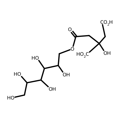 O=C(O)CC(O)(CC(=O)OCC(O)C(O)C(O)C(O)CO)C(=O)O